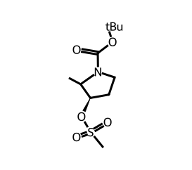 CC1[C@H](OS(C)(=O)=O)CCN1C(=O)OC(C)(C)C